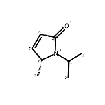 CC(C)N1C(=O)C=C[C@H]1C